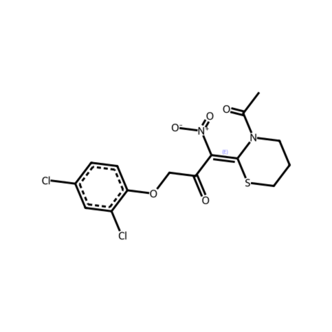 CC(=O)N1CCCS/C1=C(\C(=O)COc1ccc(Cl)cc1Cl)[N+](=O)[O-]